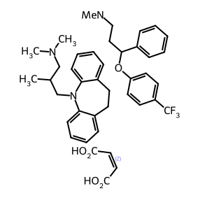 CC(CN(C)C)CN1c2ccccc2CCc2ccccc21.CNCCC(Oc1ccc(C(F)(F)F)cc1)c1ccccc1.O=C(O)/C=C\C(=O)O